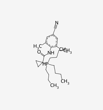 CCCC[PH](CCCC)(CCCC)C1(C(=O)Nc2c(C)cc(C#N)cc2C)CC1